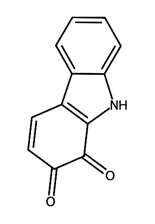 O=C1C=Cc2c([nH]c3ccccc23)C1=O